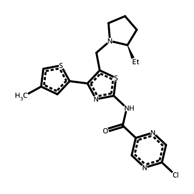 CC[C@@H]1CCCN1Cc1sc(NC(=O)c2cnc(Cl)cn2)nc1-c1cc(C)cs1